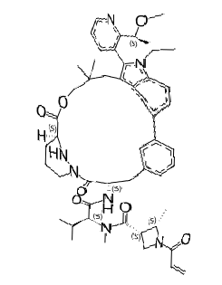 C=CC(=O)N1C[C@H](C(=O)N(C)[C@H](C(=O)N[C@H]2Cc3cccc(c3)-c3ccc4c(c3)c(c(-c3cccnc3[C@H](C)OC)n4CC)CC(C)(C)COC(=O)[C@@H]3CCCN(N3)C2=O)C(C)C)[C@@H]1C